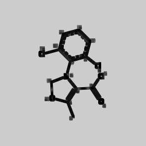 CC1=C(C(=O)Cl)N(c2c(Cl)cccc2Cl)CO1